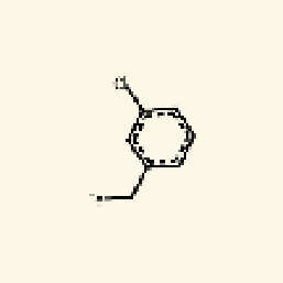 Clc1cccc([CH2][Fe])c1